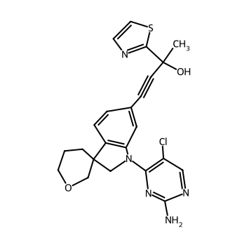 CC(O)(C#Cc1ccc2c(c1)N(c1nc(N)ncc1Cl)CC21CCCOC1)c1nccs1